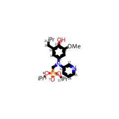 COc1cc(N(CP(=O)(OC(C)C)OC(C)C)c2cccnc2)cc(CC(C)C)c1O